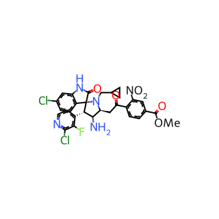 COC(=O)c1ccc(C(=O)C[C@H]2[C@@H](N)[C@H](c3ccnc(Cl)c3F)[C@]3(C(=O)Nc4cc(Cl)ccc43)N2CC2CC2)c([N+](=O)[O-])c1